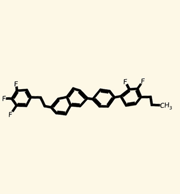 CCCc1ccc(-c2ccc(-c3ccc4cc(CCc5cc(F)c(F)c(F)c5)ccc4c3)cc2)c(F)c1F